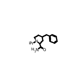 CC(C)N1CC[C](Cc2ccccc2)CC1C(N)=O